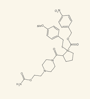 COc1ccc(CS[N+]2(C(=O)OCc3ccc([N+](=O)[O-])cc3)CCCC2C(=O)N2CCN(CCOC(N)=O)CC2)cc1